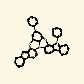 c1ccc(-c2cc3c4c(c2)Oc2c(ccc5c6ccccc6n(-c6ccccc6)c25)B4c2ccc4c(sc5ccccc54)c2O3)cc1